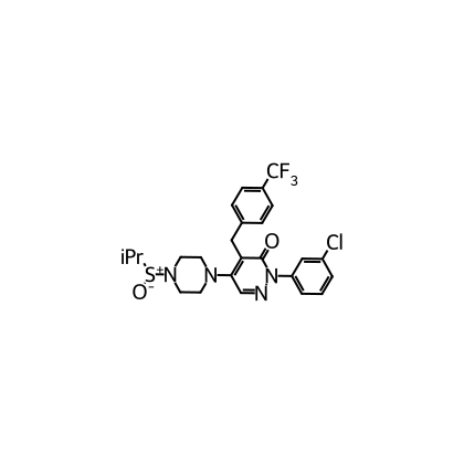 CC(C)[S+]([O-])N1CCN(c2cnn(-c3cccc(Cl)c3)c(=O)c2Cc2ccc(C(F)(F)F)cc2)CC1